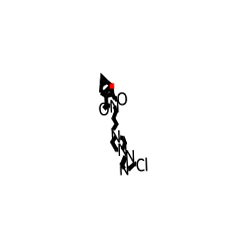 O=C1C2=C3C=CC(C2C(=O)N1CCCCN1CCN(c2cncc(Cl)n2)CC1)C1CC31